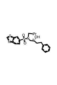 CC(C)CN(C[C@H](O)[CH]Cc1ccccc1)S(=O)(=O)c1ccc2ncsc2c1